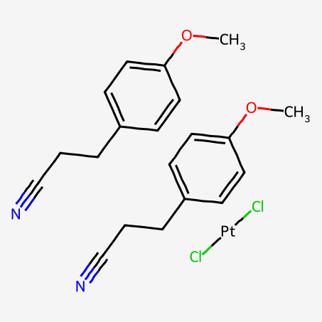 COc1ccc(CCC#N)cc1.COc1ccc(CCC#N)cc1.[Cl][Pt][Cl]